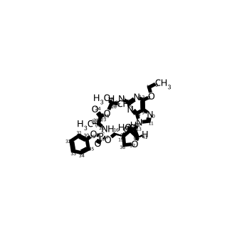 CCOc1nc(N)nc2c1ncn2C1O[C@@]2(COP(=O)(N[C@H](C)C(=O)OC(C)C)Oc3ccccc3)CO[C@@H]1[C@@H]2O